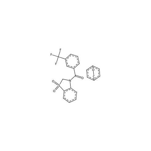 O=C(c1cccc(C(F)(F)F)c1)N1CS(=O)(=O)c2ccccc21.c1cc2ccc1CO2